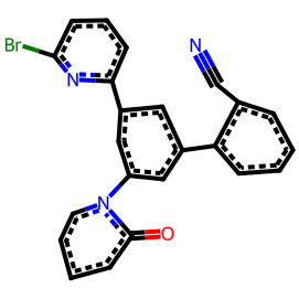 N#Cc1ccccc1-c1cc(-c2cccc(Br)n2)cc(-n2ccccc2=O)c1